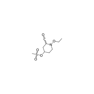 CCON1CCC(OS(C)(=O)=O)CC1=C=O